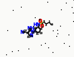 CCCCS(=O)(=O)Nc1cccc(-n2ncc(C#N)c2N)c1